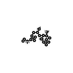 Cc1ccc(-c2cc(-c3cccc(-c4ccc5c(c4)C(c4ccccc4)(c4ccccc4)c4ccc(-c6cc(-c7cccc8ccccc78)nc(C)n6)cc4-5)c3)cc(-c3cccc(-c4ccccc4-c4cc(C)nc(-c5ccc6c(c5)C(c5ccccc5)(c5cccc(-c7ccccc7-c7cccc(-c8cncc(C)c8)c7)c5)c5ccccc5-6)n4)c3)c2)nc1